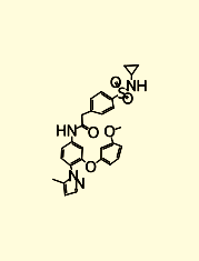 COc1cccc(Oc2cc(NC(=O)Cc3ccc(S(=O)(=O)NC4CC4)cc3)ccc2-n2nccc2C)c1